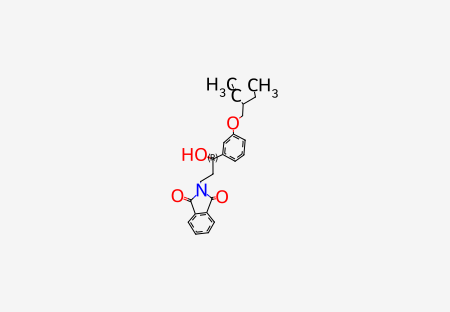 CCC(CC)COc1cccc([C@H](O)CCN2C(=O)c3ccccc3C2=O)c1